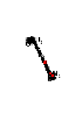 C=C(CCCCCCCCCCSSCCCCCCCCCCC(=C)ON1C(=O)CCC1=O)ON1C(=O)CCC1=O